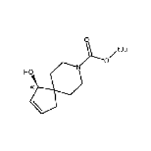 CC(C)(C)OC(=O)N1CCC2(CC=C[C@H]2O)CC1